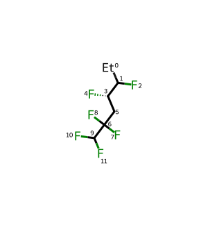 [CH2]CC(F)[C@@H](F)CC(F)(F)C(F)F